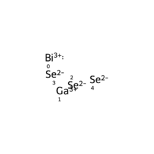 [Bi+3].[Ga+3].[Se-2].[Se-2].[Se-2]